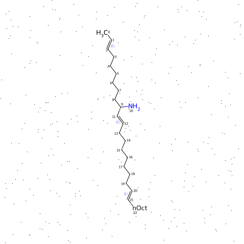 C/C=C/CCCCCCC(N)/C=C/CCCCCCC/C=C/CCCCCCCC